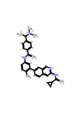 C=C(Nc1ccc(C)c(-c2ccc3cc(NC(=C)C4CC4)ncc3c2)c1)c1ccc(C(C)N(C)C)cc1